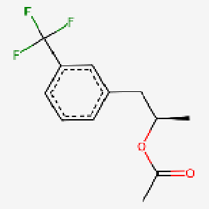 CC(=O)O[C@H](C)Cc1cccc(C(F)(F)F)c1